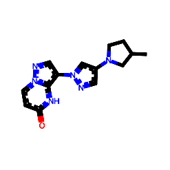 CC1CCN(c2cnn(-c3cnn4ccc(=O)[nH]c34)c2)C1